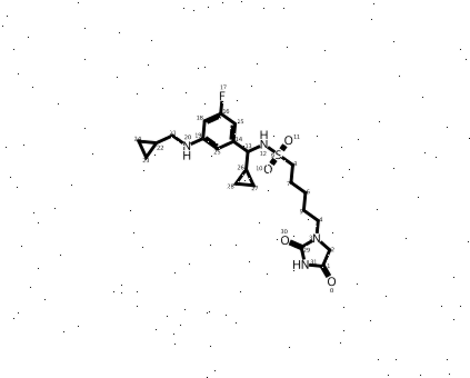 O=C1CN(CCCCCS(=O)(=O)NC(c2cc(F)cc(NCC3CC3)c2)C2CC2)C(=O)N1